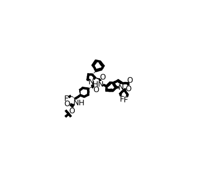 CC(C)(C)OC(=O)N[C@H](CF)[C@H]1CC[C@H](C(=O)N2CC[C@H](c3ccccc3)[C@H]2C(=O)Nc2ccc3c(c2)cc2n3C(CF)(CF)OC2=O)CC1